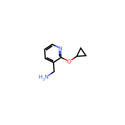 NCc1cccnc1OC1CC1